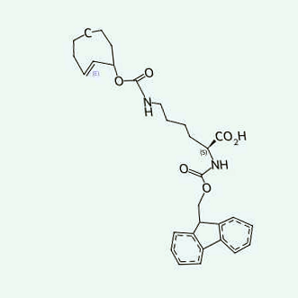 O=C(N[C@@H](CCCCNC(=O)OC1/C=C/CCCCC1)C(=O)O)OCC1c2ccccc2-c2ccccc21